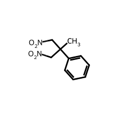 CC(C[N+](=O)[O-])(C[N+](=O)[O-])c1ccccc1